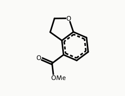 COC(=O)c1cccc2c1CCO2